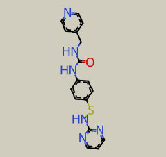 O=C(NCc1ccncc1)Nc1ccc(SNc2ncccn2)cc1